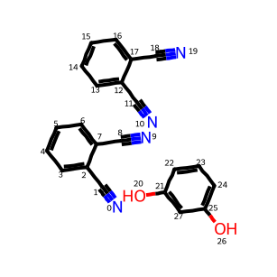 N#Cc1ccccc1C#N.N#Cc1ccccc1C#N.Oc1cccc(O)c1